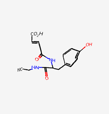 N#CCNC(=O)C(Cc1ccc(O)cc1)NC(=O)C=CC(=O)O